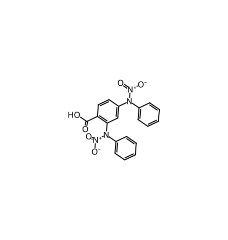 O=C(O)c1ccc(N(c2ccccc2)[N+](=O)[O-])cc1N(c1ccccc1)[N+](=O)[O-]